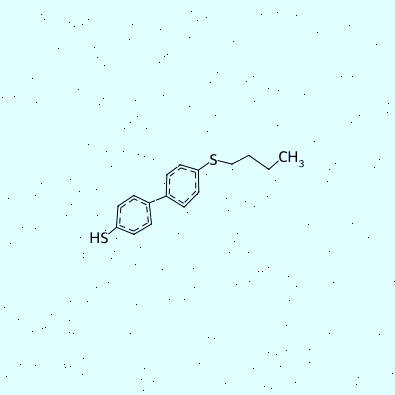 CCCCSc1ccc(-c2ccc(S)cc2)cc1